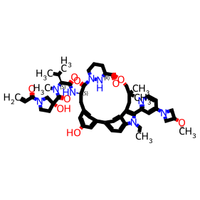 C=CC(=O)N1CCC(O)(C(=O)N(C)[C@H](C(=O)N[C@H]2Cc3cc(O)cc(c3)-c3ccc4c(c3)c(c(-c3cc(N5CC(OC)C5)ccn3)n4CC)CC(C)(C)COC[C@@]3(C=O)CCCN(N3)C2=O)C(C)C)C1